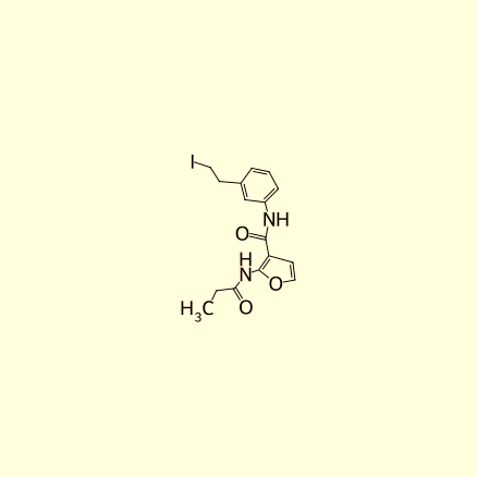 CCC(=O)Nc1occc1C(=O)Nc1cccc(CCI)c1